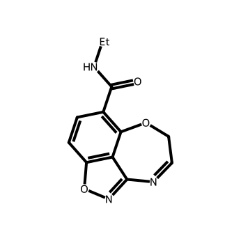 CCNC(=O)c1ccc2onc3c2c1OCC=N3